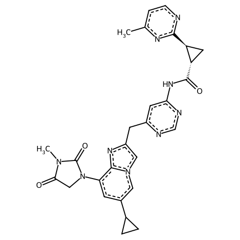 Cc1ccnc([C@H]2C[C@@H]2C(=O)Nc2cc(Cc3cn4cc(C5CC5)cc(N5CC(=O)N(C)C5=O)c4n3)ncn2)n1